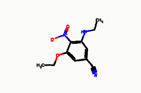 CCNc1cc(C#N)cc(OCC)c1[N+](=O)[O-]